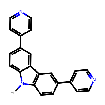 CCn1c2ccc(-c3ccncc3)cc2c2cc(-c3ccncc3)ccc21